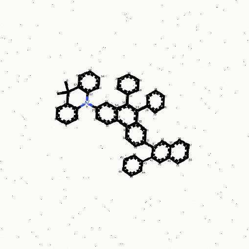 CC1(C)c2ccccc2N(c2ccc3c(c2)c(-c2ccccc2)c(-c2ccccc2)c2cc(-c4cc5ccccc5cc4-c4ccccc4)ccc23)c2ccccc21